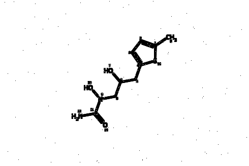 Cc1ccc(CC(O)CN(O)C(N)=O)s1